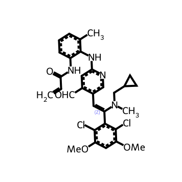 C=CC(=O)Nc1cccc(C)c1Nc1cc(C=O)c(/C=C(/c2c(Cl)c(OC)cc(OC)c2Cl)N(C)CC2CC2)cn1